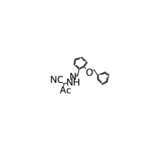 CC(=O)C(C#N)NN=Cc1ccccc1OCc1ccccc1